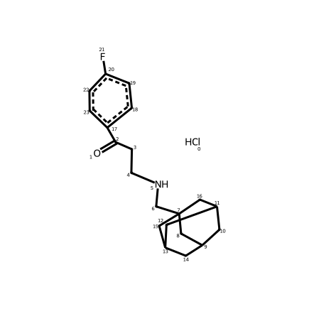 Cl.O=C(CCNCC12CC3CC(CC(C3)C1)C2)c1ccc(F)cc1